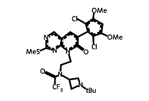 COc1cc(OC)c(Cl)c(-c2cc3cnc(SC)nc3n(CCN(C(=O)C(F)(F)F)C3CN(C(C)(C)C)C3)c2=O)c1Cl